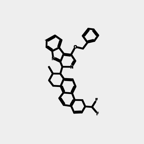 CC1CCc2c(ccc3c4c(ccc23)C=CC(C(F)F)C4)C1C1N=CC(OCc2ccccc2)=C2C1=Nc1c[c]ccc12